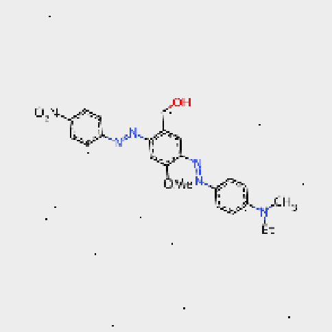 CCN(C)c1ccc(N=Nc2cc(CO)c(N=Nc3ccc([N+](=O)[O-])cc3)cc2OC)cc1